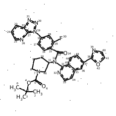 CC(C)(C)OC(=O)N1CCC[C@@H](N(C(=O)c2ccc(-n3nnc4cccnc43)cc2F)c2nccc3cc(-c4ncco4)ccc23)C1